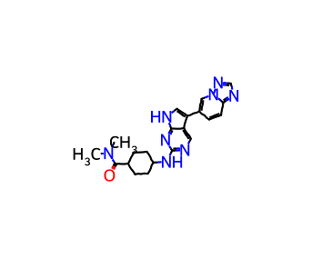 CN(C)C(=O)C1CCC(Nc2ncc3c(-c4ccc5ncnn5c4)c[nH]c3n2)CC1